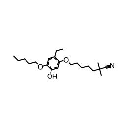 CCCCCOc1cc(CC)c(OCCCCCC(C)(C)C#N)cc1O